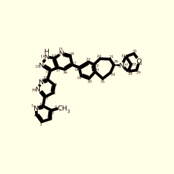 Cc1cccnc1-c1ccc(-c2n[nH]c3ncc(-c4ccc5c(c4)CC[C@@H](N4C6COCC4C6)CC5)cc23)nn1